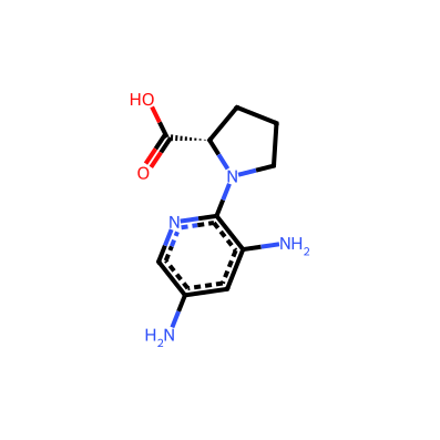 Nc1cnc(N2CCC[C@H]2C(=O)O)c(N)c1